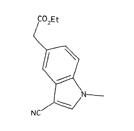 CCOC(=O)Cc1ccc2c(c1)c(C#N)cn2C